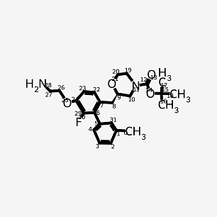 Cc1cccc(-c2c(C[C@@H]3CN(C(=O)OC(C)(C)C)CCO3)ccc(OCCN)c2F)c1